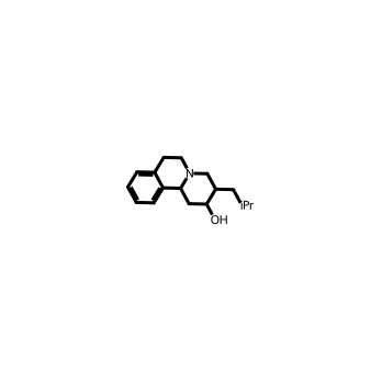 CC(C)CC1CN2CCc3ccccc3C2CC1O